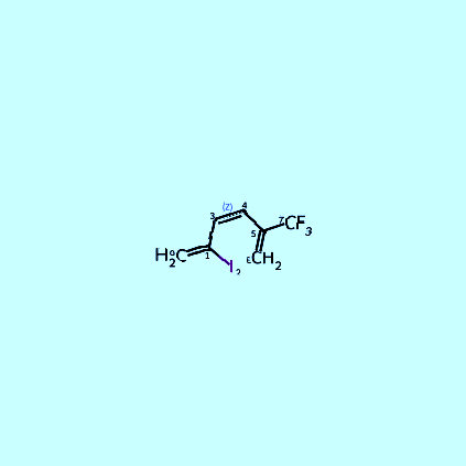 C=C(I)/C=C\C(=C)C(F)(F)F